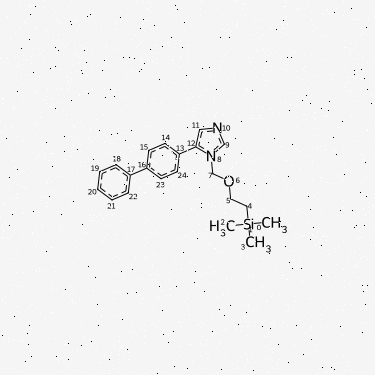 C[Si](C)(C)CCOCn1cncc1-c1ccc(-c2ccccc2)cc1